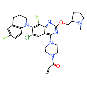 C=CC(=O)N1CCN(c2nc(OCC3CCCN3C)nc3c(F)c(N4CCCc5cc(F)ccc54)c(Cl)cc23)CC1